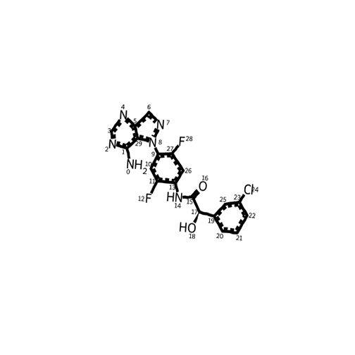 Nc1ncnc2cnn(-c3cc(F)c(NC(=O)[C@H](O)c4cccc(Cl)c4)cc3F)c12